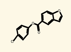 O=C(Oc1ccc(Cl)cc1)c1ccc2occc2c1